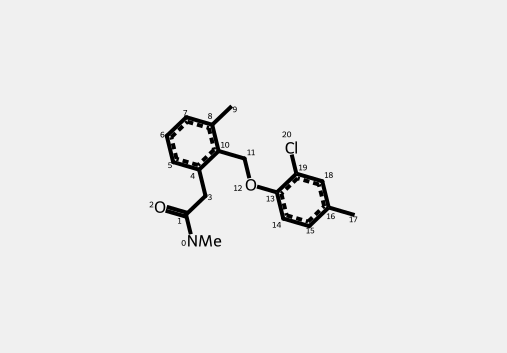 CNC(=O)Cc1cccc(C)c1COc1ccc(C)cc1Cl